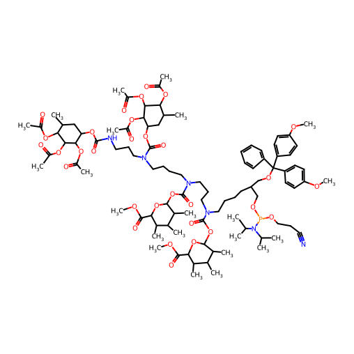 COC(=O)C1OC(OC(=O)N(CCCCC(COP(OCCC#N)N(C(C)C)C(C)C)COC(c2ccccc2)(c2ccc(OC)cc2)c2ccc(OC)cc2)CCCN(CCCCN(CCCNC(=O)OC2CC(C)C(OC(C)=O)C(OC(C)=O)C2OC(C)=O)C(=O)OC2CC(C)C(OC(C)=O)C(OC(C)=O)C2OC(C)=O)C(=O)OC2OC(C(=O)OC)C(C)C(C)C2C)C(C)C(C)C1C